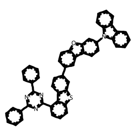 c1ccc(-c2nc(-c3ccccc3)nc(-c3cccc4sc5cc(-c6ccc7oc8cc(-n9c%10ccccc%10c%10ccccc%109)ccc8c7c6)ccc5c34)n2)cc1